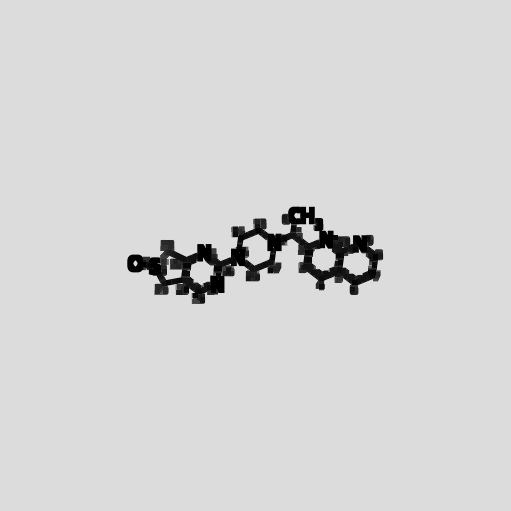 CC(c1ccc2cccnc2n1)N1CCN(c2ncc3c(n2)C[S+]([O-])C3)CC1